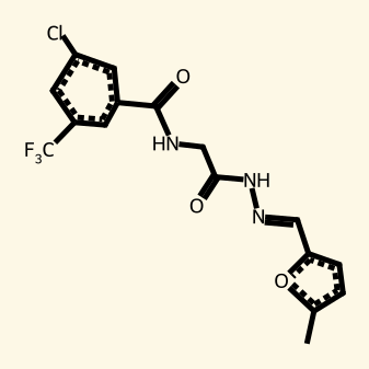 Cc1ccc(/C=N/NC(=O)CNC(=O)c2cc(Cl)cc(C(F)(F)F)c2)o1